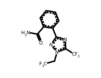 NC(=O)c1ccccc1-c1nc(C(F)(F)F)n(CC(F)(F)F)n1